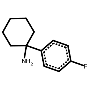 NC1(c2ccc(F)cc2)CCCCC1